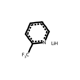 FC(F)(F)c1cc[c]cn1.[LiH]